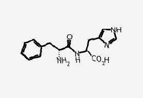 N[C@H](Cc1ccccc1)C(=O)N[C@@H](Cc1c[nH]cn1)C(=O)O